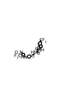 O=C(NCCOC1CCC(Nc2ccc([N+](=O)[O-])c(C(F)(F)F)c2)CC1)C(=O)Nc1ccc2cc(C(F)(F)F)ccc2n1